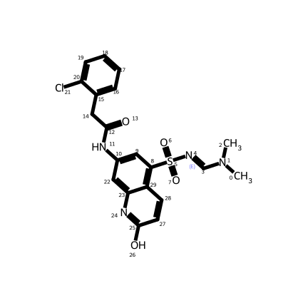 CN(C)/C=N/S(=O)(=O)c1cc(NC(=O)Cc2ccccc2Cl)cc2nc(O)ccc12